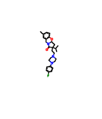 Cc1ccc2c(c1)CN1C(=O)C(CCN3CCN(c4ccc(F)cc4)CC3)(C(C)C)CC1O2